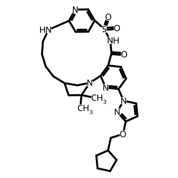 CC1(C)CC2CCCCNc3ccc(cn3)S(=O)(=O)NC(=O)c3ccc(-n4ccc(OCC5CCCC5)n4)nc3N1C2